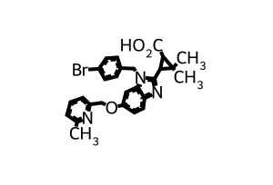 Cc1cccc(COc2ccc3nc(C4C(C(=O)O)C4(C)C)n(Cc4ccc(Br)cc4)c3c2)n1